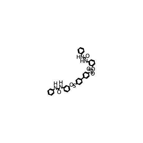 O=C(Nc1ccccc1)Nc1cccc(OSc2ccc(-c3ccc(S(=O)(=O)Oc4cccc(NC(=O)Nc5ccccc5)c4)cc3)cc2)c1